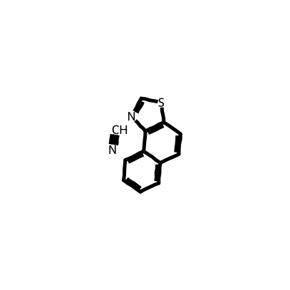 C#N.c1ccc2c(c1)ccc1scnc12